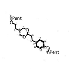 [CH2+][CH-]CCCOCCC1COC(CCc2ccc(OCCCCC)cc2)OC1